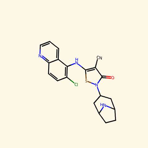 N#Cc1c(Nc2c(Cl)ccc3ncccc23)sn(C2CC3CCC(C2)N3)c1=O